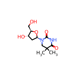 CC1(C)CN([C@H]2C[C@H](O)[C@@H](CO)O2)C(=O)NC1=O